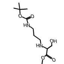 COC(=O)C(CO)NCCCNC(=O)OC(C)(C)C